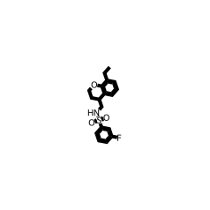 CCc1cccc2c1OCCC2CNS(=O)(=O)c1cccc(F)c1